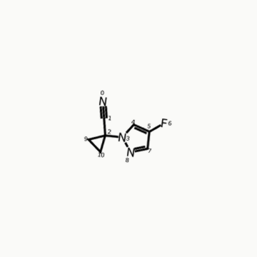 N#CC1(n2cc(F)cn2)CC1